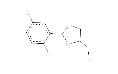 O=C(O)OC1CSC(c2cc([N+](=O)[O-])ccc2O)N1